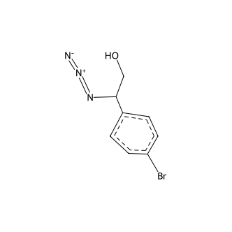 [N-]=[N+]=NC(CO)c1ccc(Br)cc1